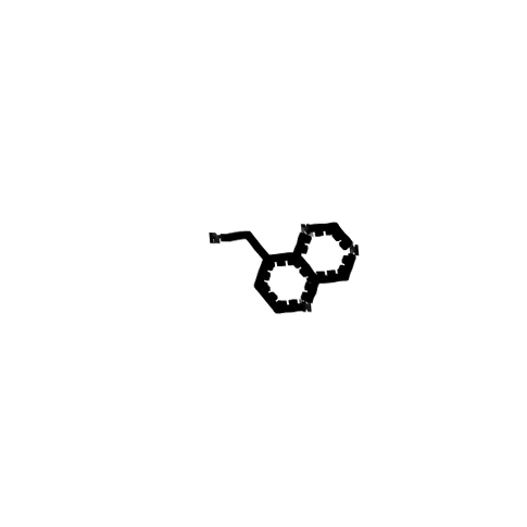 BrCc1ccnc2cncnc12